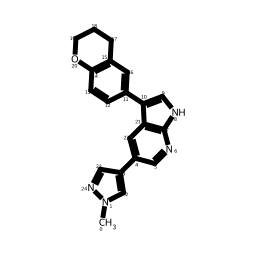 Cn1cc(-c2cnc3[nH]cc(-c4ccc5c(c4)CCCO5)c3c2)cn1